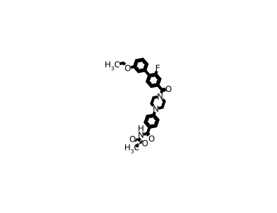 CCOc1cccc(-c2ccc(C(=O)N3CCN(c4ccc(C(=O)NS(C)(=O)=O)cc4)CC3)cc2F)c1